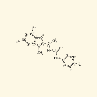 Cc1c([C@@H](NC(=O)Nc2cnc(Cl)nc2)C(F)(F)F)oc2c(F)cc(F)cc12